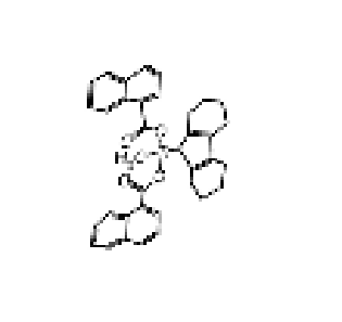 [CH3][Ti]([O]C(=O)c1cccc2ccccc12)([O]C(=O)c1cccc2ccccc12)[CH]1C2=C(CCCC2)C2=C1CCCC2